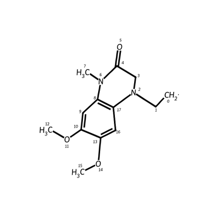 [CH2]CN1CC(=O)N(C)c2cc(OC)c(OC)cc21